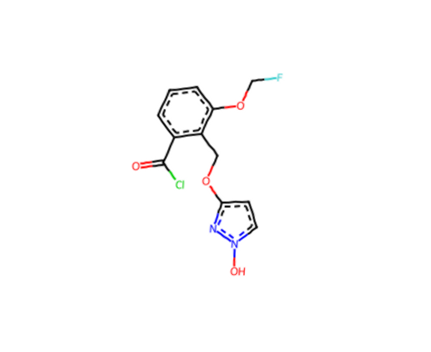 O=C(Cl)c1cccc(OCF)c1COc1ccn(O)n1